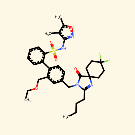 CCCCC1=NC2(CCC(F)(F)CC2)C(=O)N1Cc1ccc(-c2ccccc2S(=O)(=O)Nc2noc(C)c2C)c(COCC)c1